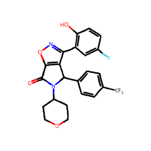 O=C1c2onc(-c3cc(F)ccc3O)c2C(c2ccc(C(F)(F)F)cc2)N1C1CCOCC1